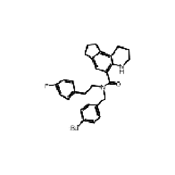 CC(C)(C)c1ccc(CN(CCc2ccc(F)cc2)C(=O)c2cc3c(c4c2NCCC4)CCC3)cc1